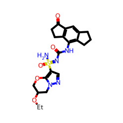 CCOC1COc2c(S(N)(=O)=NC(=O)Nc3c4c(cc5c3CCC5=O)CCC4)cnn2C1